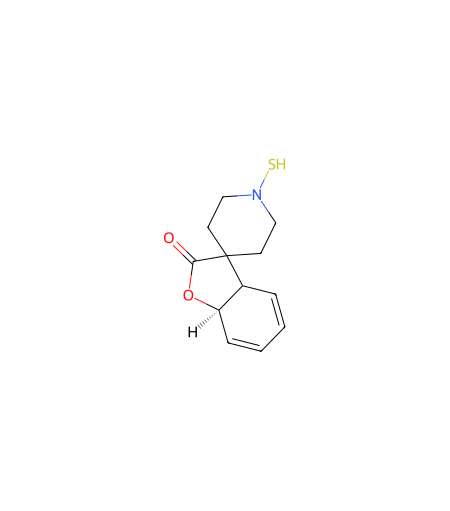 O=C1O[C@@H]2C=CC=CC2C12CCN(S)CC2